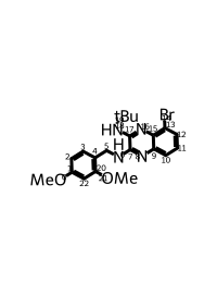 COc1ccc(CNc2nc3cccc(Br)c3nc2NC(C)(C)C)c(OC)c1